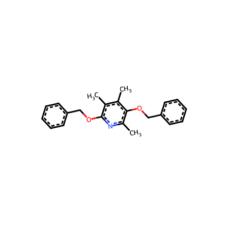 Cc1nc(OCc2ccccc2)c(C)c(C)c1OCc1ccccc1